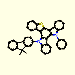 CC1(C)c2ccccc2-c2ccc(-n3c4ccccc4c4c5c(c6ccccc6n5-c5ccccc5)c5sc6ccccc6c5c43)cc21